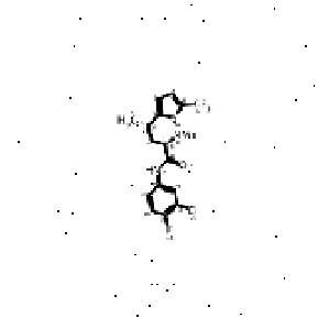 CN[C@H](C[C@H](C)c1ccc(C(F)(F)F)s1)C(=O)Nc1ccc(F)c(Cl)c1